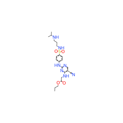 CCCOC(=O)CNc1nc(Nc2ccc(S(=O)(=O)NCCCNC(C)C)cc2)ncc1C#N